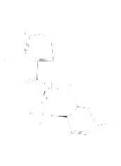 O=C(N[C@@H]1CC[C@@H]1c1ccc(Cl)cc1C(F)(F)F)c1cccnc1Cl